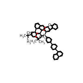 CC(C)(C)c1cc(-c2cccc3cccc(C4=CC=CCC4N(c4ccc(-c5ccc(-c6cccc7ccccc67)cc5)cc4)c4ccc5oc6ccccc6c5c4)c23)cc(C(C)(C)C)c1